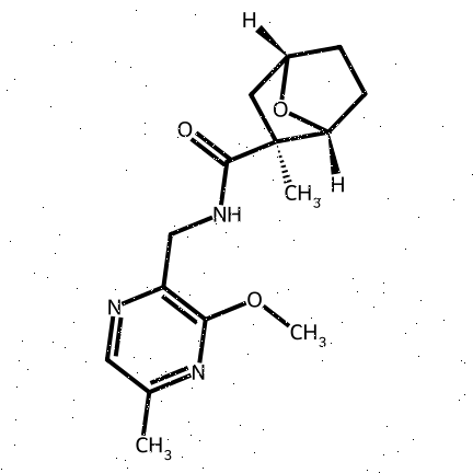 COc1nc(C)cnc1CNC(=O)[C@@]1(C)C[C@@H]2CC[C@H]1O2